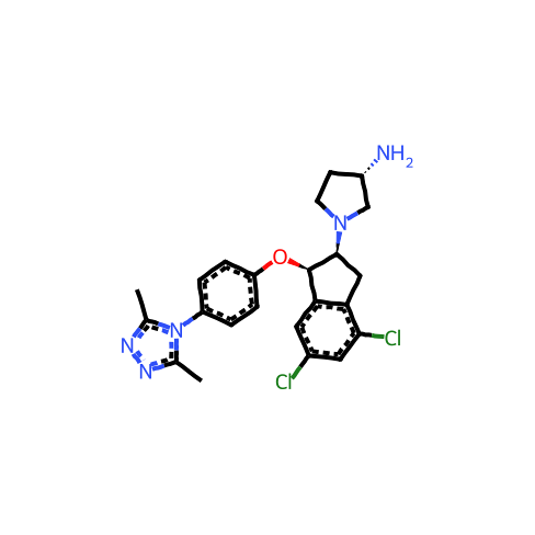 Cc1nnc(C)n1-c1ccc(O[C@@H]2c3cc(Cl)cc(Cl)c3C[C@@H]2N2CC[C@H](N)C2)cc1